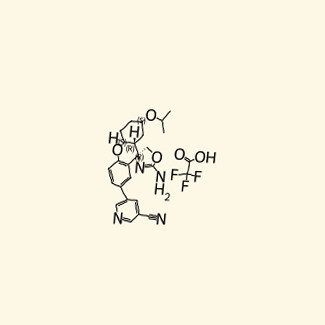 CC(C)O[C@H]1CC[C@@H]2Oc3ccc(-c4cncc(C#N)c4)cc3[C@@]3(COC(N)=N3)[C@H]2C1.O=C(O)C(F)(F)F